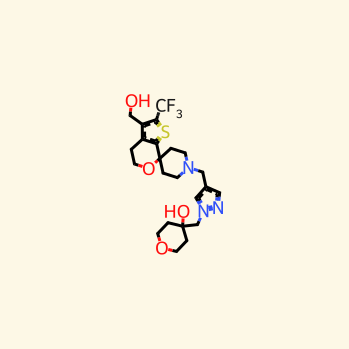 OCc1c(C(F)(F)F)sc2c1CCOC21CCN(Cc2cnn(CC3(O)CCOCC3)c2)CC1